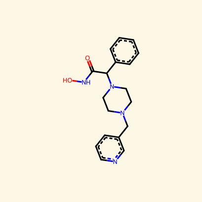 O=C(NO)C(c1ccccc1)N1CCN(Cc2cccnc2)CC1